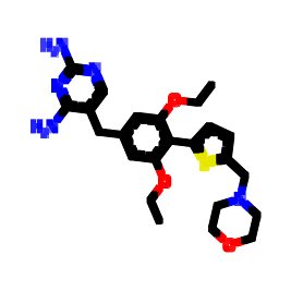 CCOc1cc(Cc2cnc(N)nc2N)cc(OCC)c1-c1ccc(CN2CCOCC2)s1